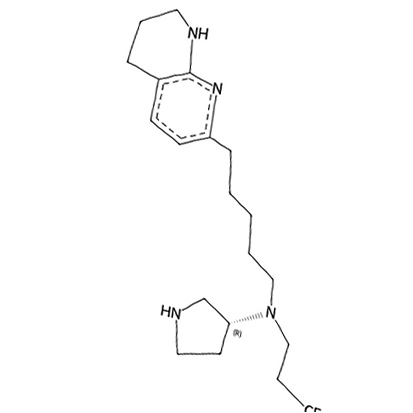 FC(F)(F)CCN(CCCCCc1ccc2c(n1)NCCC2)[C@@H]1CCNC1